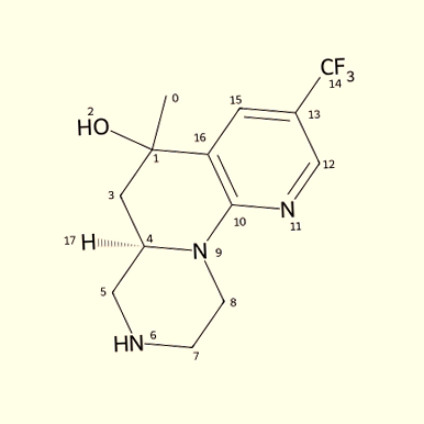 CC1(O)C[C@@H]2CNCCN2c2ncc(C(F)(F)F)cc21